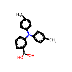 Cc1ccc(N(c2ccc(C)cc2)c2cccc(B(O)O)c2)cc1